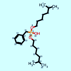 CC(C)CCCCCO[PH](O)(Cc1ccccc1)OCCCCCC(C)C